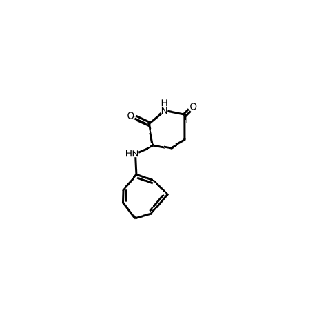 O=C1CCC(NC2=CC=CCC=C2)C(=O)N1